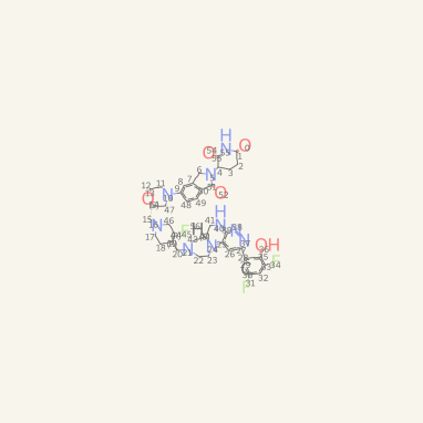 O=C1CCC(N2Cc3cc(N4CCO[C@@H](CN5CC[C@H](CN6CCN7c8cc(-c9cc(F)cc(F)c9O)nnc8NC[C@H]7C6)[C@@H](F)C5)C4)ccc3C2=O)C(=O)N1